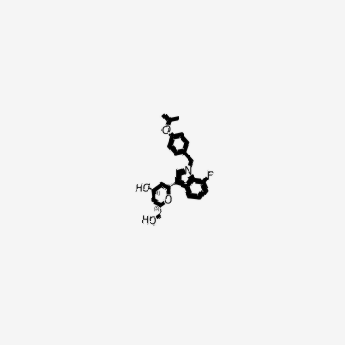 CC(C)Oc1ccc(Cn2cc([C@H]3C[C@@H](O)C[C@@H](CO)O3)c3cccc(F)c32)cc1